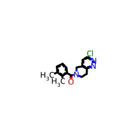 Cc1cccc(C(=O)N2CCc3nnc(Cl)cc3C2)c1C